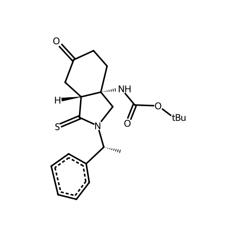 C[C@H](c1ccccc1)N1C[C@]2(NC(=O)OC(C)(C)C)CCC(=O)C[C@H]2C1=S